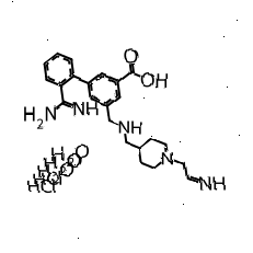 Cl.Cl.N=CCN1CCC(CNCc2cc(C(=O)O)cc(-c3ccccc3C(=N)N)c2)CC1.O.O.O